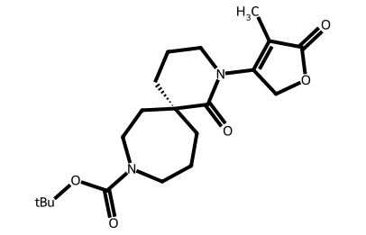 CC1=C(N2CCC[C@@]3(CCCN(C(=O)OC(C)(C)C)CC3)C2=O)COC1=O